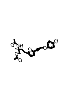 CC(=O)N[C@](C)(CCc1ccc(C#CCOc2ccc(Cl)cc2)o1)COC(C)=O